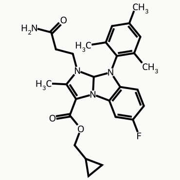 CC1=C(C(=O)OCC2CC2)N2c3cc(F)ccc3N(c3c(C)cc(C)cc3C)C2N1CCC(N)=O